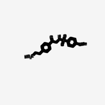 COc1ccc(S(=O)(=O)NCC(=O)c2ccc(CCC(=O)O)cc2)cc1